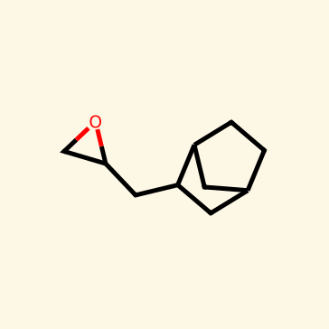 C1CC2CC1CC2CC1CO1